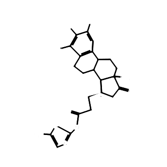 Cc1cnc(NC(=O)CC[C@@H]2CC(=O)C3(C)CCC4c5cc(I)c(O)c(I)c5CCC4C23)s1